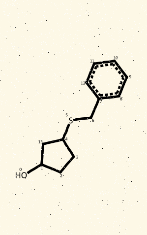 OC1CCC(SCc2ccccc2)C1